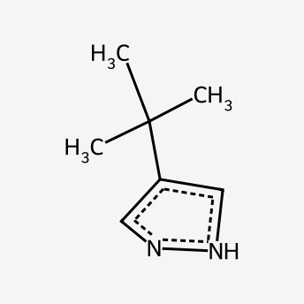 CC(C)(C)c1cn[nH]c1